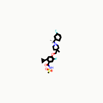 C[C@H](c1cccc(F)c1)N1CCC(C)(COc2cc(C3CC3)c(C(=O)NS(C)(=O)=O)cc2F)CC1